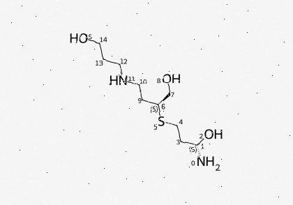 N[C@@H](O)CCS[C@H](CO)CCNCCCO